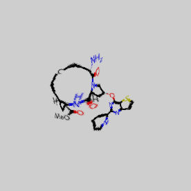 COC(=O)[C@@]12C[C@H]1/C=C\CCCCC[C@H](N)C(=O)N1C[C@H](Oc3nc(-c4ccccn4)nc4ccsc34)C[C@H]1C(=O)N2